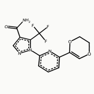 NC(=O)c1cnn(-c2cccc(C3=COCCO3)n2)c1C(F)(F)F